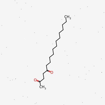 CCCCCCCCCCCCCC(=O)CCC(C)=O